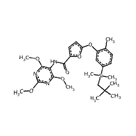 COc1nc(OC)c(NC(=O)c2ccc(Oc3cc([Si](C)(C)CC(C)(C)C)ccc3C)o2)c(OC)n1